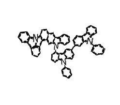 c1ccc(-n2c3ccccc3c3ccc(-c4ccc5c(c4)c4c(-n6c7ccccc7c7cc8ccc9c(c8cc76)c6cccc7c8ccccc8n9c76)cccc4n5-c4ccccc4)cc32)cc1